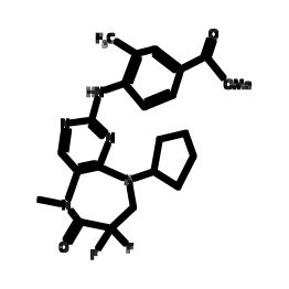 COC(=O)c1ccc(Nc2ncc3c(n2)N(C2CCCC2)CC(F)(F)C(=O)N3C)c(C(F)(F)F)c1